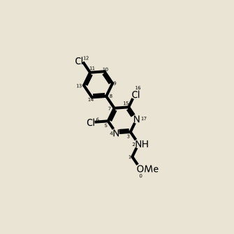 COCNc1nc(Cl)c(-c2ccc(Cl)cc2)c(Cl)n1